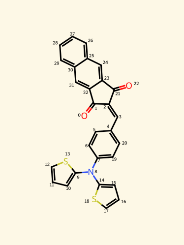 O=C1C(=Cc2ccc(N(c3cccs3)c3cccs3)cc2)C(=O)c2cc3ccccc3cc21